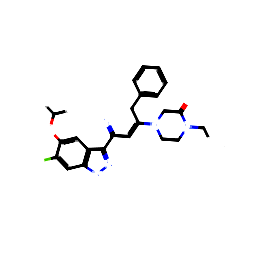 CCN1CCN(/C(=C/C(=N)c2n[nH]c3cc(F)c(OC(C)C)cc23)Cc2ccccc2)CC1=O